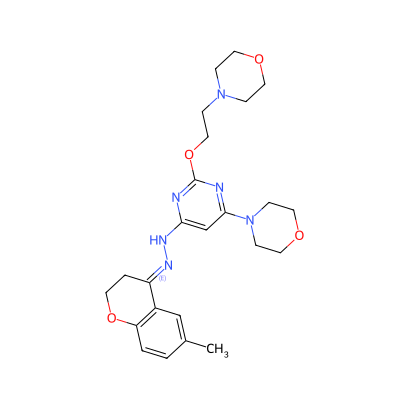 Cc1ccc2c(c1)/C(=N/Nc1cc(N3CCOCC3)nc(OCCN3CCOCC3)n1)CCO2